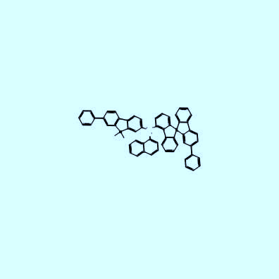 CC1(C)c2cc(-c3ccccc3)ccc2-c2ccc(N(c3cccc4c3-c3ccccc3C43c4ccccc4-c4ccc(-c5ccccc5)cc43)c3cccc4ccccc34)cc21